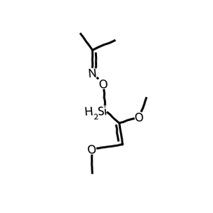 COC=C(OC)[SiH2]ON=C(C)C